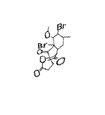 COC1C(Br)C(C)CC(C(C)=O)C1(Br)C(=O)C1(C)CCC(=O)O1